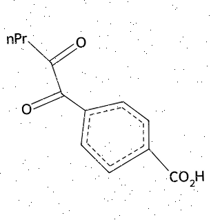 CCCC(=O)C(=O)c1ccc(C(=O)O)cc1